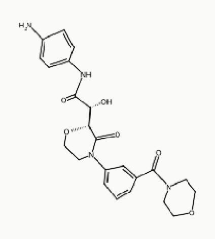 Nc1ccc(NC(=O)[C@H](O)[C@H]2OCCN(c3cccc(C(=O)N4CCOCC4)c3)C2=O)cc1